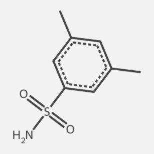 Cc1cc(C)cc(S(N)(=O)=O)c1